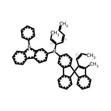 C=C/C=C\C(=C/C)N(c1ccc2c(c1)-c1ccccc1C21C(/C=C\C)=C(C)c2ccccc21)c1ccc2c3ccccc3n(-c3ccccc3)c2c1